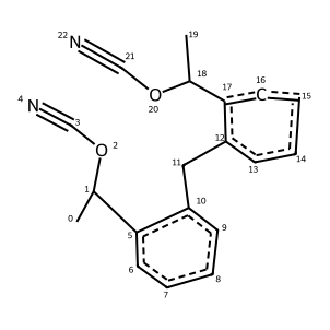 CC(OC#N)c1ccccc1Cc1ccccc1C(C)OC#N